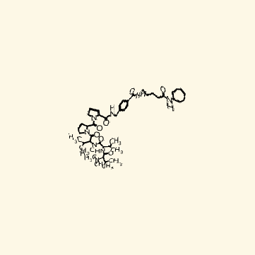 CC(C)C(NC(=O)C(C(C)C)N(C)C)C(=O)N(C)C(C(=O)N1CCCC1C(=O)N1CCCC1C(=O)NCc1ccc(C(=O)NCCCCC(=O)NC2CCCCCC2)cc1)C(C)C